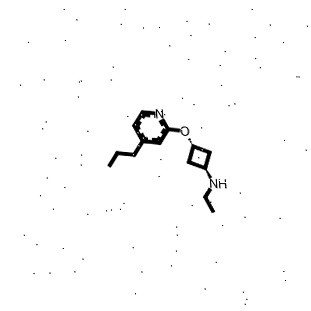 CCCc1ccnc(O[C@H]2C[C@H](NCC)C2)c1